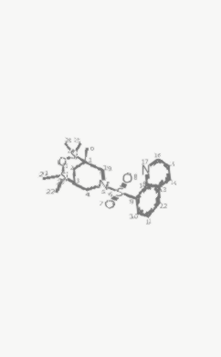 C[C@]12CC(CN(S(=O)(=O)c3cccc4cccnc34)C1)[Si](C)(C)O[Si]2(C)C